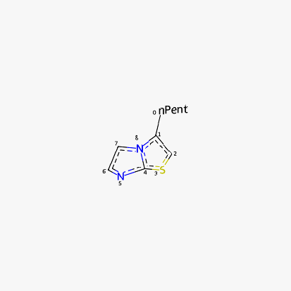 CCCCCc1csc2nccn12